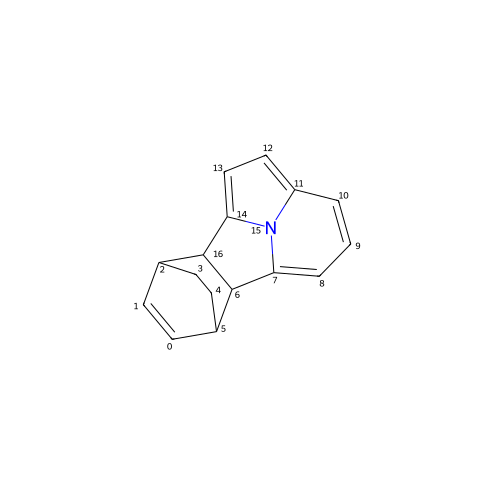 C1=CC2CCC1C1c3cccc4ccc(n34)C21